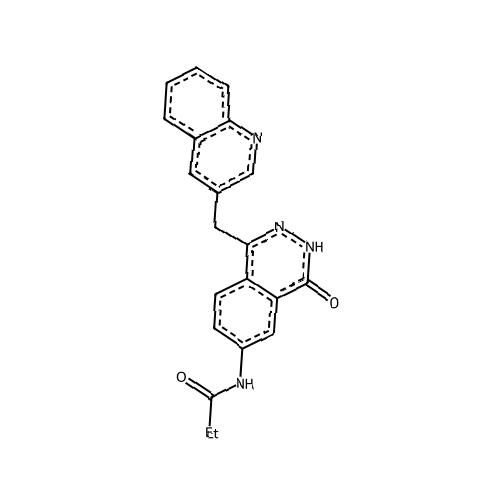 CCC(=O)Nc1ccc2c(Cc3cnc4ccccc4c3)n[nH]c(=O)c2c1